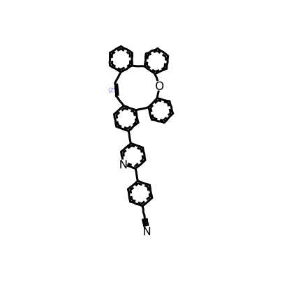 N#Cc1ccc(-c2ccc(-c3ccc4c(c3)-c3ccccc3Oc3ccccc3-c3ccccc3/C=C\4)cn2)cc1